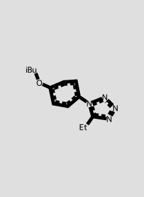 CCc1nnnn1-c1ccc(OC(C)CC)cc1